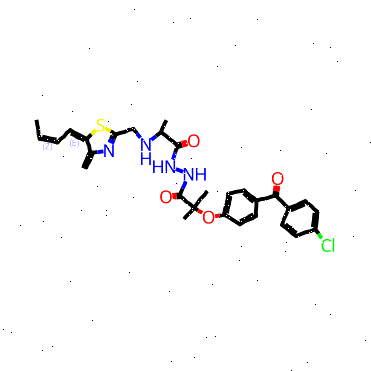 C=c1nc(CNC(C)C(=O)NNC(=O)C(C)(C)Oc2ccc(C(=O)c3ccc(Cl)cc3)cc2)s/c1=C/C=C\C